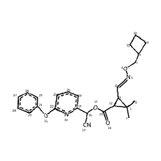 CC1(C)C(/C=N/OCC2CCC2)C1C(=O)OC(C#N)c1cccc(Oc2ccccc2)n1